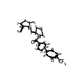 CC1CCC(C)N1CC1CCCN1C(=O)c1ccc(-c2ccc(C(F)(F)F)cc2)cc1